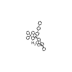 CC1(C)c2cc(-c3ccccc3)ccc2-c2ccc(N(c3ccc(-c4ccc(-c5ccccc5)cc4)cc3)c3cccc4c3-c3ccccc3C4(c3ccccc3)c3ccccc3)cc21